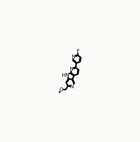 COCc1cc2[nH]c3nc(-c4ccc(F)nc4)ccc3c2cn1